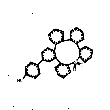 N#Cc1ccc(-c2ccc3c(c2)-c2ccccc2S(=O)(=O)c2ccccc2-c2ccccc2-c2ccccc2-3)cc1